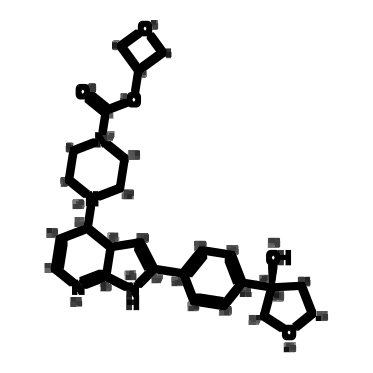 O=C(OC1COC1)N1CCN(C2C=CN=C3NC(c4ccc([C@]5(O)CCOC5)cc4)=CC32)CC1